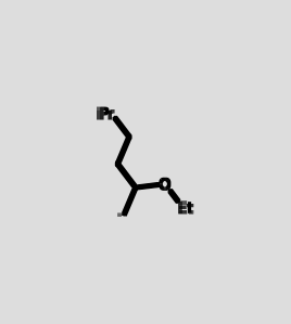 [CH2]C(CCC(C)C)OCC